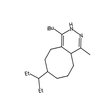 CCC(C)C1=C2CCC(C(CC)CC)CCCC2C(C)=NN1